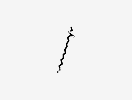 CCOC(=O)CCCCCCCCCCCN=O